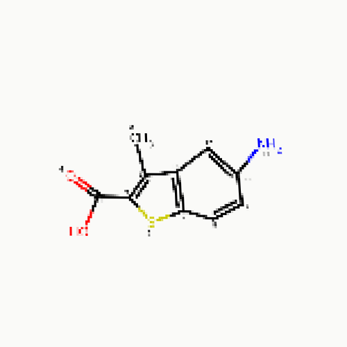 Cc1c(C(=O)O)sc2ccc(N)cc12